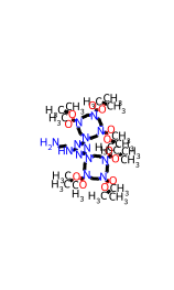 CC(C)(C)OC(=O)N1CCN(C(=O)OC(C)(C)C)CCN(c2nc(NCCN)nc(N3CCN(C(=O)OC(C)(C)C)CCN(C(=O)OC(C)(C)C)CCN(C(=O)OC(C)(C)C)CC3)n2)CCN(C(=O)OC(C)(C)C)CC1